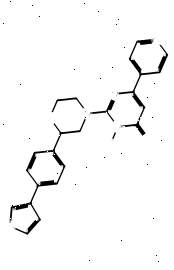 Cn1c(N2CCOC(c3ccc(-c4ccoc4)cc3)C2)nc(-c2ccncc2)cc1=O